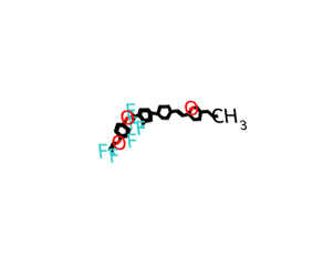 CCCC1CCC(/C=C/C2CCC(c3ccc(C(F)(F)Oc4ccc(OC=C(F)F)c(F)c4)c(F)c3)CC2)OC1